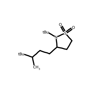 CC(CCC1CCS(=O)(=O)N1C(C)(C)C)C(C)(C)C